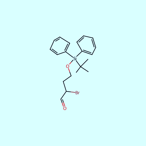 CC(C)(C)[Si](OCCC(Br)C=O)(c1ccccc1)c1ccccc1